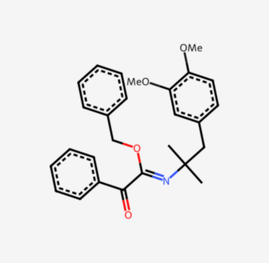 COc1ccc(CC(C)(C)N=C(OCc2ccccc2)C(=O)c2ccccc2)cc1OC